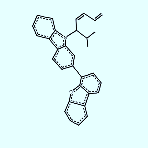 C=C/C=C\C(C(C)C)n1c2ccccc2c2ccc(-c3cccc4c3oc3ccccc34)cc21